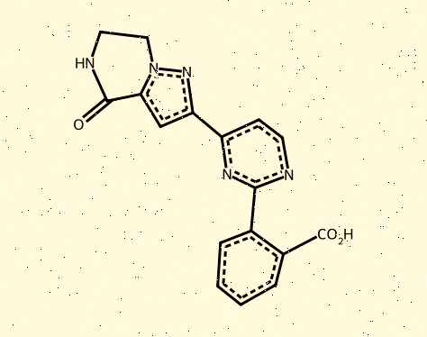 O=C(O)c1ccccc1-c1nccc(-c2cc3n(n2)CCNC3=O)n1